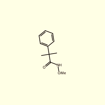 CONC(=O)C(C)(C)c1ccccc1